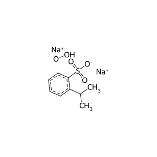 CC(C)c1ccccc1S(=O)(=O)[O-].[Na+].[Na+].[O-]O